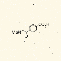 CNC(C)C(=O)c1ccc(C(=O)O)cc1